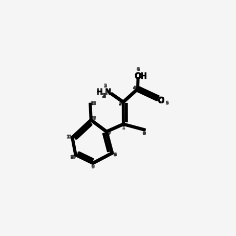 CC(=C(N)C(=O)O)c1ccccc1C